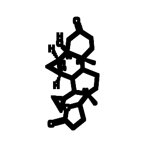 C[C@]1(C2CCC(=O)O2)CCC2C(C1C1CC1)[C@H]1C[C@H]1[C@]1(O)CC(=O)CC[C@]21C